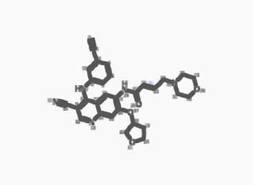 C#Cc1cccc(Nc2c(C#N)cnc3cc(OC4CCOC4)c(NC(=O)/C=C/CN4CCOCC4)cc23)c1